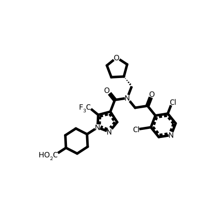 O=C(CN(C[C@@H]1CCOC1)C(=O)c1cnn(C2CCC(C(=O)O)CC2)c1C(F)(F)F)c1c(Cl)cncc1Cl